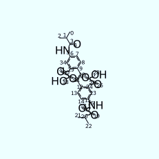 CC(C)C(=O)Nc1ccc(C=Cc2ccc(NS(=O)(=O)C(C)C)cc2S(=O)(=O)O)c(S(=O)(=O)O)c1